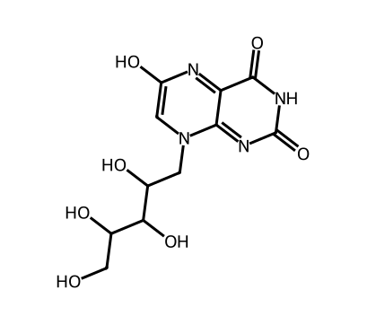 O=c1nc2n(CC(O)C(O)C(O)CO)cc(O)nc-2c(=O)[nH]1